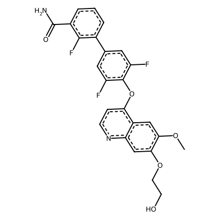 COc1cc2c(Oc3c(F)cc(-c4cccc(C(N)=O)c4F)cc3F)ccnc2cc1OCCO